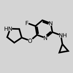 Fc1cnc(NC2CC2)nc1OC1CCNC1